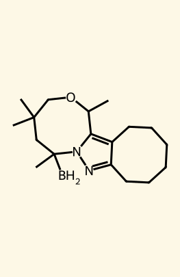 BC1(C)CC(C)(C)COC(C)c2c3c(nn21)CCCCCC3